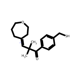 CC(C)(/C=C1/CCCOCC1)C(=O)c1ccc(CS)cc1